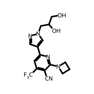 N#Cc1c(C(F)(F)F)cc(-c2cnn(CC(O)CO)c2)nc1N1CCC1